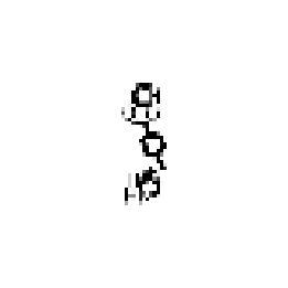 c1cnc2c(c1)OC[C@H](c1ccc(CN3C[C@@H]4CC3CN4)cc1)O2